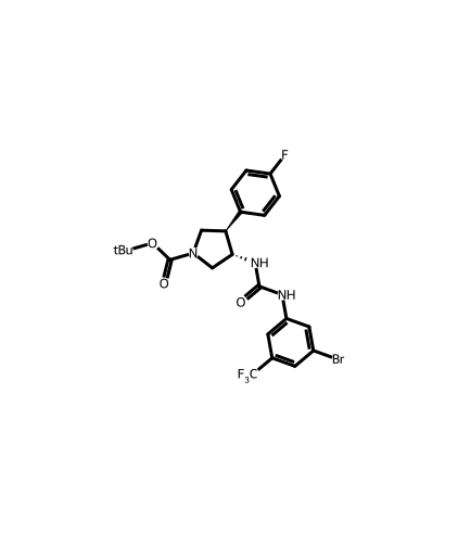 CC(C)(C)OC(=O)N1C[C@@H](NC(=O)Nc2cc(Br)cc(C(F)(F)F)c2)[C@H](c2ccc(F)cc2)C1